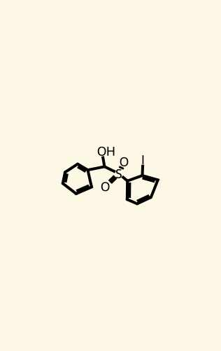 O=S(=O)(c1ccccc1I)C(O)c1ccccc1